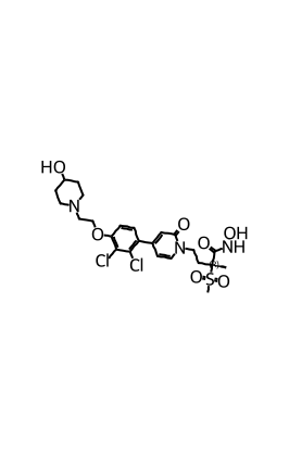 C[C@@](CCn1ccc(-c2ccc(OCCN3CCC(O)CC3)c(Cl)c2Cl)cc1=O)(C(=O)NO)S(C)(=O)=O